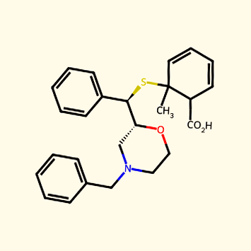 CC1(S[C@H](c2ccccc2)[C@H]2CN(Cc3ccccc3)CCO2)C=CC=CC1C(=O)O